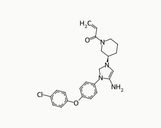 C=CC(=O)N1CCC[C@@H](N2C=C(N)N(c3ccc(Oc4ccc(Cl)cc4)cc3)C2)C1